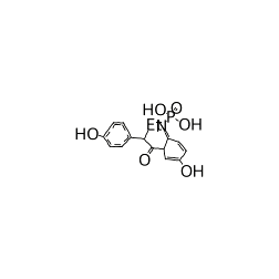 CCC(C(=O)C1C=C(O)C=CC1=NP(=O)(O)O)c1ccc(O)cc1